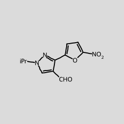 CC(C)n1cc(C=O)c(-c2ccc([N+](=O)[O-])o2)n1